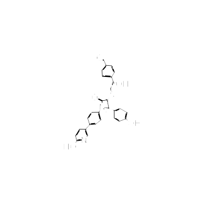 O=C1[C@H](SC[C@@H](O)c2ccc(Cl)cc2)[C@@H](c2ccc(O)cc2)N1c1ccc(-c2ccc(O)nc2)cc1